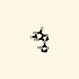 O=c1[nH]c(=O)c2ncn(-c3ncc[nH]3)c2[nH]1